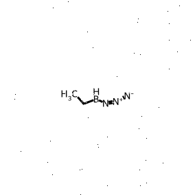 CCBN=[N+]=[N-]